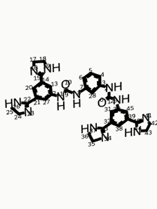 O=C(Nc1cccc(NC(=O)Nc2cc(C3=NCCN3)cc(C3=NCCN3)c2)c1)Nc1cc(C2=NCCN2)cc(C2=NCCN2)c1